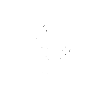 C[C@@H](CN(CCc1cc2cc(CC(=O)O)ccc2o1)Cc1cccc(C(F)(F)F)c1Cl)c1ccccc1